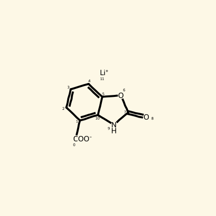 O=C([O-])c1cccc2oc(=O)[nH]c12.[Li+]